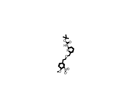 COc1ccc(CCOCc2cccc(NC(=O)OC(C)(C)C)n2)cc1[N+](=O)[O-]